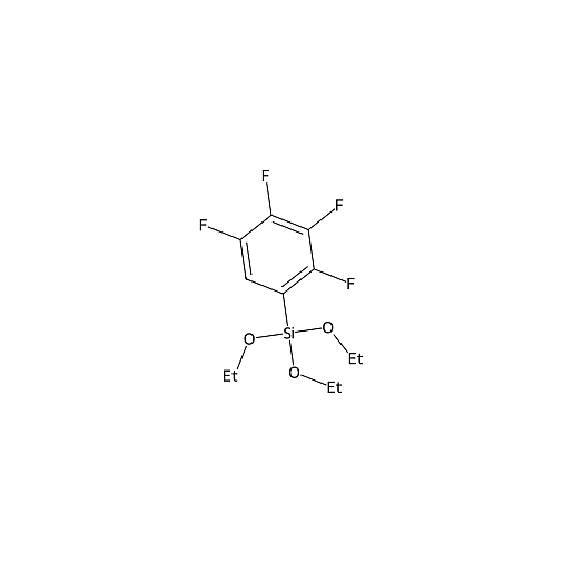 CCO[Si](OCC)(OCC)c1cc(F)c(F)c(F)c1F